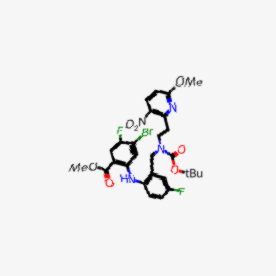 COC(=O)c1cc(F)c(Br)cc1Nc1ccc(F)cc1CN(CCc1nc(OC)ccc1[N+](=O)[O-])C(=O)OC(C)(C)C